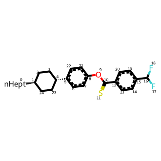 CCCCCCC[C@H]1CC[C@H](c2ccc(OC(=S)c3ccc(C(F)F)cc3)cc2)CC1